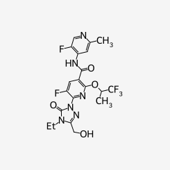 CCn1c(CO)nn(-c2nc(OC(C)C(F)(F)F)c(C(=O)Nc3cc(C)ncc3F)cc2F)c1=O